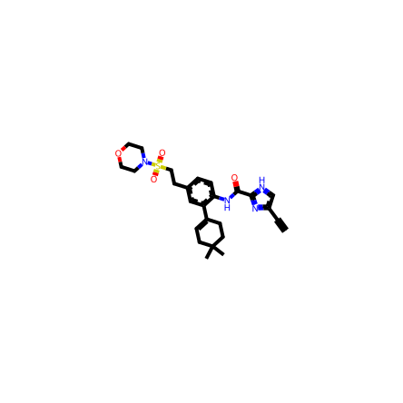 C#Cc1c[nH]c(C(=O)Nc2ccc(CCS(=O)(=O)N3CCOCC3)cc2C2=CCC(C)(C)CC2)n1